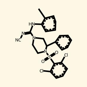 Cc1ccccc1N/C(=N/C#N)N1CCN(S(=O)(=O)c2c(Cl)cccc2Cl)C(c2ccccc2)C1